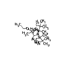 CCO[Si](C)(C)C(CC)N([Si](C)(C)C(C)(C)C)[Si](C)(C)C(C)(C)C